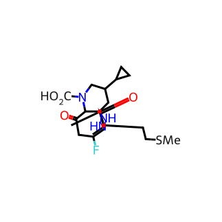 CSCCC1NC2=C(F)CC(=O)C3N(C(=O)O)CC(C4CC4)CC23NC1=O